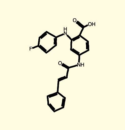 O=C(/C=C/c1ccccc1)Nc1ccc(C(=O)O)c(Nc2ccc(F)cc2)c1